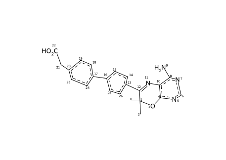 CC1(C)Oc2ncnc(N)c2N=C1c1ccc(-c2ccc(CC(=O)O)cc2)cc1